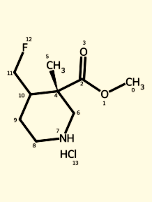 COC(=O)[C@]1(C)CNCCC1CF.Cl